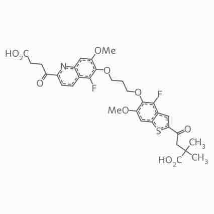 COc1cc2nc(C(=O)CCC(=O)O)ccc2c(F)c1OCCCOc1c(OC)cc2sc(C(=O)CC(C)(C)C(=O)O)cc2c1F